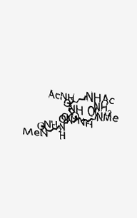 CNC(CCCCNC(=O)CN(CC(=O)NCCCCC(NC)C(N)=O)C(=O)CCNC(=O)[C@H](CCCCNC(C)=O)NC(C)=O)C(N)=O